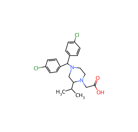 CC(C)C1CN(C(c2ccc(Cl)cc2)c2ccc(Cl)cc2)CCN1CC(=O)O